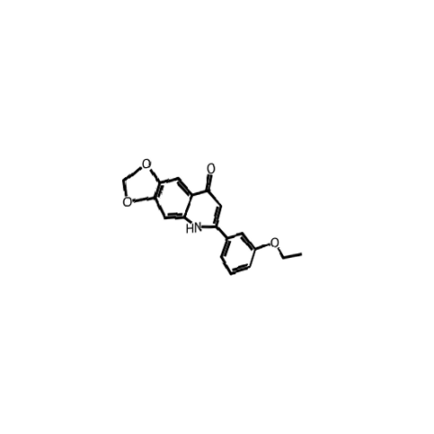 CCOc1cccc(-c2cc(=O)c3cc4c(cc3[nH]2)OCO4)c1